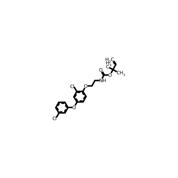 C=CC(C)(C)OC(=O)NCCOc1ccc(Oc2cccc(Cl)c2)cc1Cl